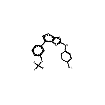 NC1CCC(Nc2nn3c(-c4cccc(OC(F)(F)F)c4)cnc3s2)CC1